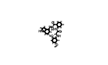 COc1ccc(OC)c(NCC(=O)Nc2ccccc2C(=O)NCc2cccc3[nH]ccc23)c1